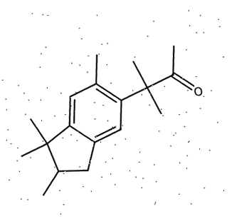 CC(=O)C(C)(C)c1cc2c(cc1C)C(C)(C)C(C)C2